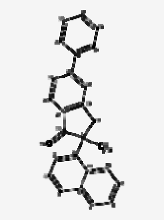 CC1(c2cccc3ccccc23)Cc2cc(-c3ccccc3)ccc2C1=O